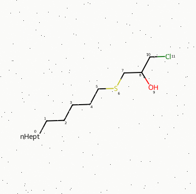 CCCCCCCCCCCCSCC(O)CCl